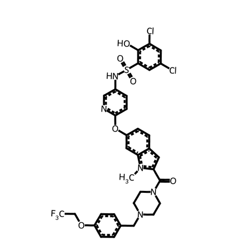 Cn1c(C(=O)N2CCN(Cc3ccc(OCC(F)(F)F)cc3)CC2)cc2ccc(Oc3ccc(NS(=O)(=O)c4cc(Cl)cc(Cl)c4O)cn3)cc21